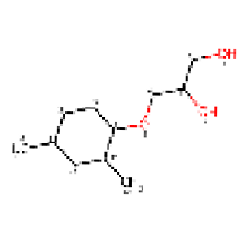 CC1CCC(OCC(O)CO)C(C)C1